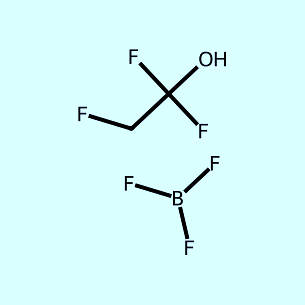 FB(F)F.OC(F)(F)CF